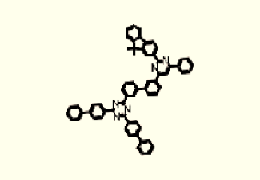 CC1(C)c2ccccc2-c2ccc(-c3nc(-c4ccccc4)cc(-c4cccc(-c5cccc(-c6nc(-c7ccc(-c8ccccc8)cc7)nc(-c7ccc(-c8ccccc8)cc7)n6)c5)c4)n3)cc21